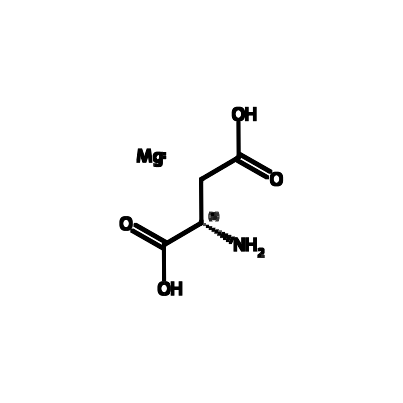 N[C@@H](CC(=O)O)C(=O)O.[Mg]